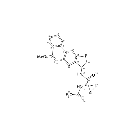 COC(=O)c1ccccc1-c1ccc2c(c1)CCC2NC(=O)C1(NC(=O)C(F)(F)F)CC1